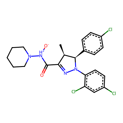 C[C@@H]1C(C(=O)[NH+]([O-])N2CCCCC2)=NN(c2ccc(Cl)cc2Cl)[C@@H]1c1ccc(Cl)cc1